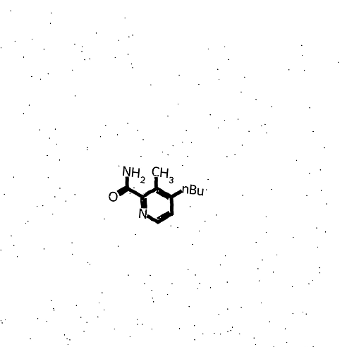 CCCCc1ccnc(C(N)=O)c1C